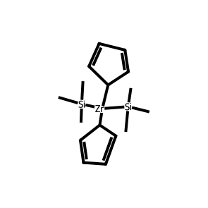 C[Si](C)(C)[Zr]([CH]1C=CC=C1)([CH]1C=CC=C1)[Si](C)(C)C